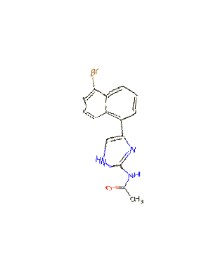 CC(=O)Nc1nc(-c2cccc3c(Br)cccc23)c[nH]1